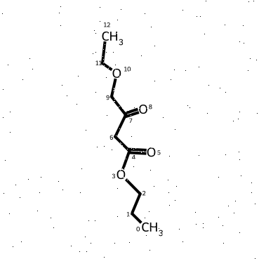 CCCOC(=O)CC(=O)COCC